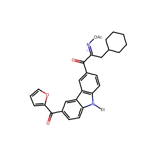 CCn1c2ccc(C(=O)/C(CC3CCCCC3)=N/OC(C)=O)cc2c2cc(C(=O)c3ccco3)ccc21